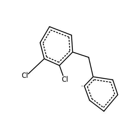 Clc1cccc(Cc2[c]cccc2)c1Cl